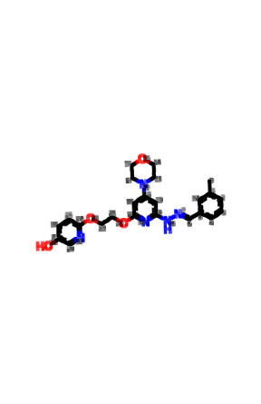 Cc1cccc(C=NNc2cc(N3CCOCC3)cc(OCCOc3ccc(O)cn3)n2)c1